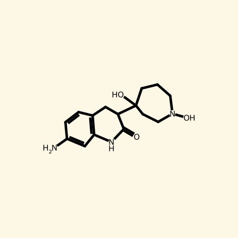 Nc1ccc2c(c1)NC(=O)C(C1(O)CCCN(O)CC1)C2